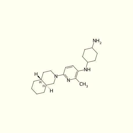 Cc1nc(N2CC[C@H]3CCCC[C@@H]3C2)ccc1NC1CCC(N)CC1